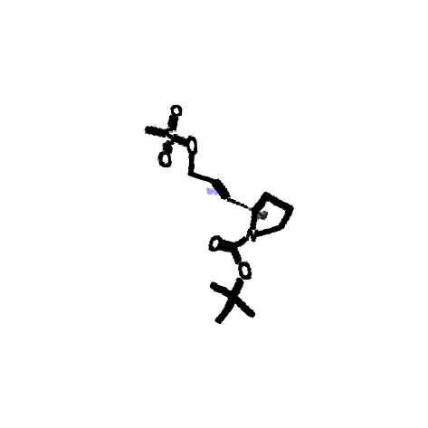 CC(C)(C)OC(=O)N1CCC[C@H]1/C=C/COS(C)(=O)=O